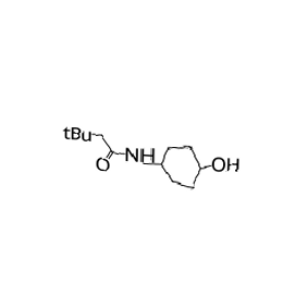 CC(C)(C)CC(=O)NCC1CCC(O)CC1